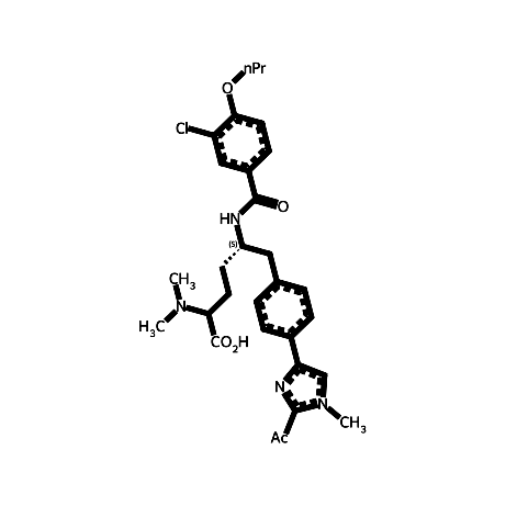 CCCOc1ccc(C(=O)N[C@@H](CCC(C(=O)O)N(C)C)Cc2ccc(-c3cn(C)c(C(C)=O)n3)cc2)cc1Cl